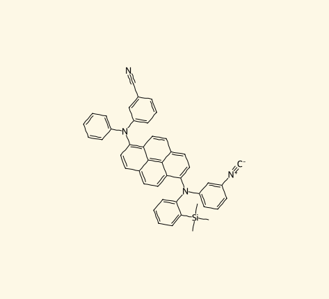 [C-]#[N+]c1cccc(N(c2ccccc2[Si](C)(C)C)c2ccc3ccc4c(N(c5ccccc5)c5cccc(C#N)c5)ccc5ccc2c3c54)c1